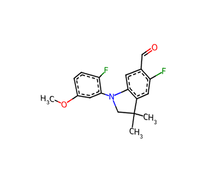 COc1ccc(F)c(N2CC(C)(C)c3cc(F)c(C=O)cc32)c1